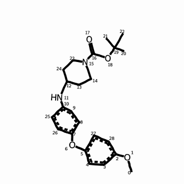 COc1ccc(Oc2ccc(NC3CCN(C(=O)OC(C)(C)C)CC3)cc2)cc1